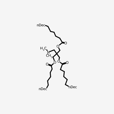 CCCCCCCCCCCCCCCC(=O)OCC(COC(=O)CCCCCCCCCCCCCCC)(COC(=O)CCCCCCCCCCCCCCC)CN(C)C